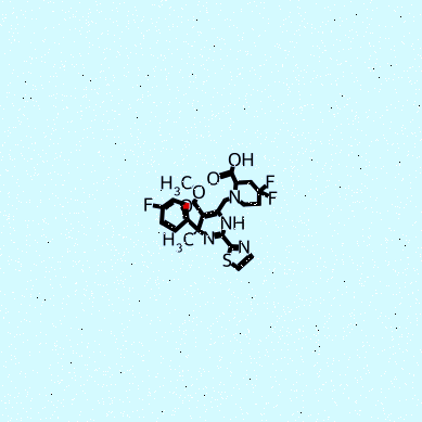 COC(=O)C1=C(CN2CCC(F)(F)CC2C(=O)O)NC(c2nccs2)=N[C@@]1(C)c1ccc(F)cc1